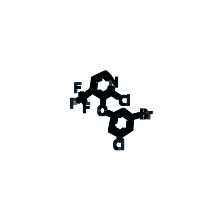 FC(F)(F)c1ccnc(Cl)c1Oc1cc(Cl)cc(Br)c1